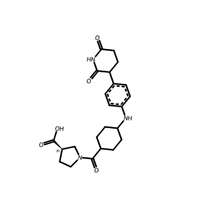 O=C1CCC(c2ccc(NC3CCC(C(=O)N4CC[C@@H](C(=O)O)C4)CC3)cc2)C(=O)N1